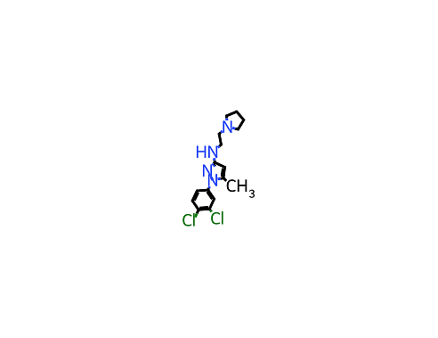 Cc1cc(NCCN2CCCC2)nn1-c1ccc(Cl)c(Cl)c1